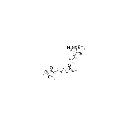 C=C(C)C(=O)OCCCOP(O)OCCCOC(=O)C(=C)C